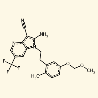 COCOc1ccc(C)c(CCn2c(N)c(C#N)c3ncc(C(F)(F)F)cc32)c1